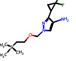 C[Si](C)(C)CCOCn1cc(N)c(C2CC2(F)F)n1